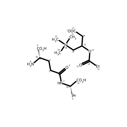 CC(C)[C@H](NC(=O)CC[C@H](N)C(=O)O)C(=O)O.CCC(=O)OC(CC(=O)[O-])C[N+](C)(C)C